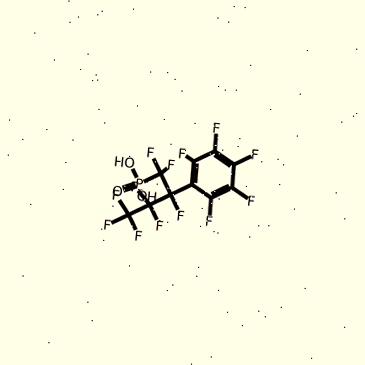 O=P(O)(O)C(F)(F)C(F)(c1c(F)c(F)c(F)c(F)c1F)C(F)(F)C(F)(F)F